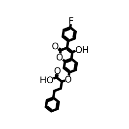 O=C(O)C(CCc1ccccc1)Oc1ccc2c(O)c(-c3ccc(F)cc3)c(=O)oc2c1